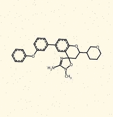 CN1OC2(CC(C3CCCOC3)Oc3ccc(-c4cccc(Oc5ccccc5)c4)cc32)N=C1N